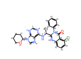 CC[C@H](Nc1ncnc2c1ncn2C1CCCCO1)c1nc2cccc(Cl)c2c(=O)n1-c1ccccc1